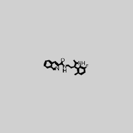 Cc1ccc(F)c2c1C(CCNC(=O)c1cc3ccccc3cn1)C(C)N2